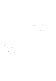 COc1ccc2ncc(F)c([C@H](O)CCC3(CO)CCN(CC#Cc4c(F)cc(F)cc4F)CC3)c2c1